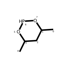 CC1CC(C)OPO1